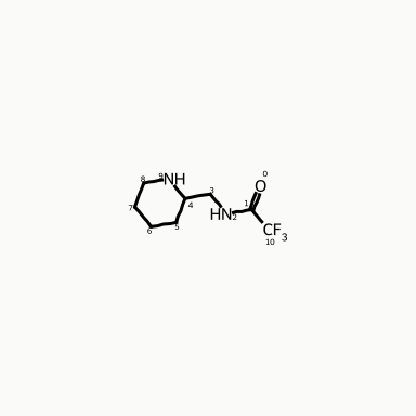 O=C(NCC1CCCCN1)C(F)(F)F